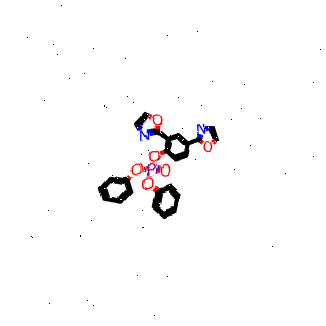 O=P(Oc1ccccc1)(Oc1ccccc1)Oc1ccc(-c2ncco2)cc1-c1ncco1